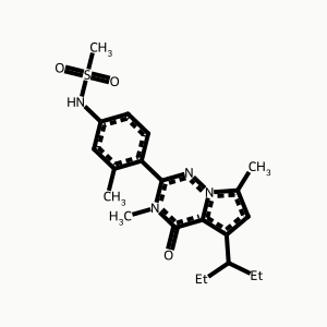 CCC(CC)c1cc(C)n2nc(-c3ccc(NS(C)(=O)=O)cc3C)n(C)c(=O)c12